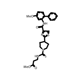 COC(=O)CCNC(=S)N1CCC(c2nc(C(=O)Nc3cc(OC)ccc3-c3ccccc3)cs2)CC1